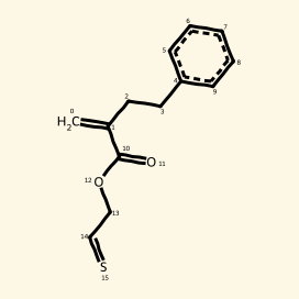 C=C(CCc1ccccc1)C(=O)OCC=S